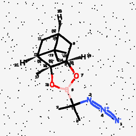 CC(C)(N=[N+]=[N-])B1O[C@@H]2C[C@@H]3C[C@@H](C3(C)C)[C@]2(C)O1